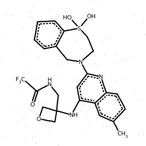 Cc1ccc2nc(N3CCS(O)(O)c4ccccc4C3)cc(NC3(CNC(=O)C(F)(F)F)COC3)c2c1